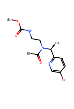 CCC(=O)N(CCNC(=O)OC(C)(C)C)[C@@H](C)c1ccc(Br)cn1